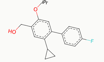 CC(C)Oc1cc(-c2ccc(F)cc2)c(C2CC2)cc1CO